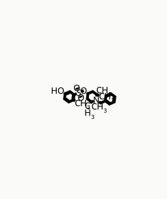 Cc1ccc(O)cc1S(=O)(=O)OC1CC(C)(C)N(Cc2ccccc2)C(C)(C)C1